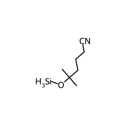 CC(C)(CCCC#N)O[SiH3]